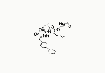 CC(=O)NCCOC(=O)C(CCC(C)C)CN(CC(C)C)C(=O)N[C@@H](Cc1ccc(-c2ccccc2)cc1)C(=O)O